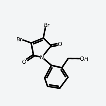 O=C1C(Br)=C(Br)C(=O)N1c1ccccc1CO